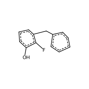 Oc1cccc(Cc2ccccc2)c1F